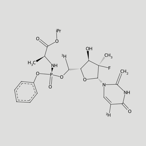 [2H]C1=CN([C@@H]2O[C@H](C([2H])O[P@@](=O)(N[C@@H](C)C(=O)OC(C)C)Oc3ccccc3)[C@@H](O)[C@@]2(C)F)C(=C)NC1=O